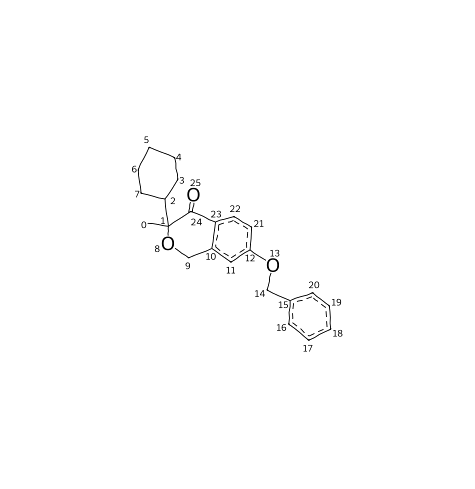 CC1(C2CCCCC2)OCc2cc(OCc3ccccc3)ccc2C1=O